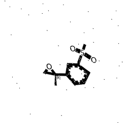 C[C@@]1(c2[c]ccc(S(C)(=O)=O)c2)CO1